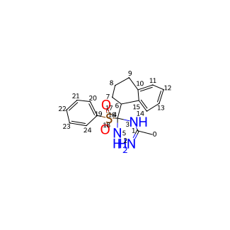 CC(=N)NC(N)(C1CCCc2ccccc21)S(=O)(=O)c1ccccc1